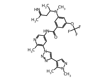 CC(=N)CC(C)N(C)c1cc(OC(F)(F)F)cc(C(=O)Nc2cnc(C)c(-n3cc(-c4cnn(C)c4C)nn3)c2)c1